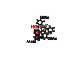 COc1ccc(C(O)(c2ccc(OC)cc2)[C@@H]2OC(C)(c3ccccc3)O[C@H]2C(O)(c2ccc(OC)cc2)c2ccc(OC)cc2)cc1